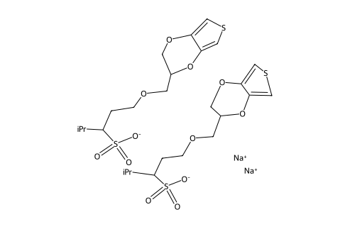 CC(C)C(CCOCC1COc2cscc2O1)S(=O)(=O)[O-].CC(C)C(CCOCC1COc2cscc2O1)S(=O)(=O)[O-].[Na+].[Na+]